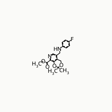 COC(=O)c1ncc(CNc2ccc(F)cc2)c2c1OC(C)(C)OC2